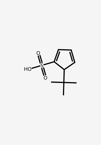 CC(C)(C)C1C=CC=C1S(=O)(=O)O